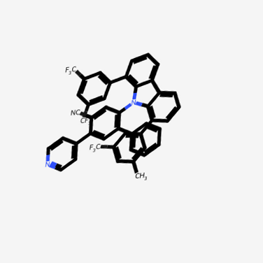 Cc1cc(-c2cccc3c4cccc(-c5cc(C(F)(F)F)cc(C(F)(F)F)c5)c4n(-c4cc(C#N)c(-c5ccncc5)cc4-c4ccccc4)c23)cc(C(F)(F)F)c1